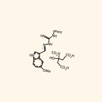 CCCCCNC(=N)N/N=C/c1c[nH]c2ccc(OC)cc12.O=C(O)CC(O)(CC(=O)O)C(=O)O